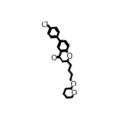 O=C1CC(CCCCOC2CCCCO2)Oc2ccc(-c3ccc(Cl)cc3)cc21